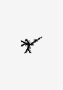 CCCCCCCOC(=O)CCCCC(=O)OCC(COC(=O)CCN(C)C)(COC(=O)CC(CCCCC)CCCCC)COC(=O)CC(CCCCC)CCCCC